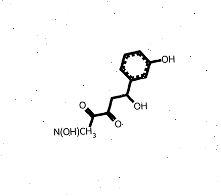 CN(O)C(=O)C(=O)CC(O)c1cccc(O)c1